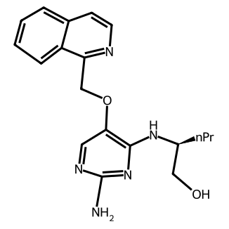 CCC[C@@H](CO)Nc1nc(N)ncc1OCc1nccc2ccccc12